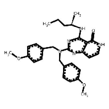 CCC[C@@H](C)Nc1nc(N(Cc2ccc(OC)cc2)Cc2ccc(OC)cc2)nc2cc[nH]c(=O)c12